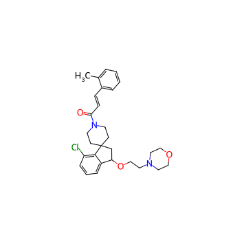 Cc1ccccc1/C=C/C(=O)N1CCC2(CC1)CC(OCCN1CCOCC1)c1cccc(Cl)c12